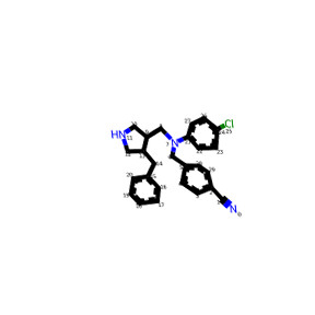 N#Cc1ccc(CN(CC2CNCC2Cc2ccccc2)c2ccc(Cl)cc2)cc1